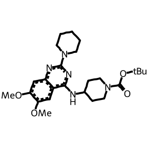 COc1cc2nc(N3CCCCC3)nc(NC3CCN(C(=O)OC(C)(C)C)CC3)c2cc1OC